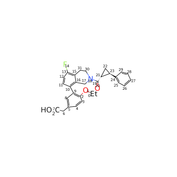 CCOc1ccc(CC(=O)O)cc1-c1ccc(F)c2c1CN(C(=O)[C@@H]1C[C@H]1c1ccccc1)CC2